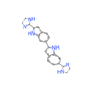 c1cc2cc(-c3ccc4cc(C5=NCCN5)[nH]c4c3)[nH]c2cc1C1=NCCN1